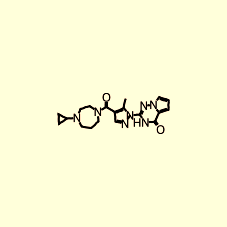 Cc1c(C(=O)N2CCCN(C3CC3)CC2)cnn1-c1nn2cccc2c(=O)[nH]1